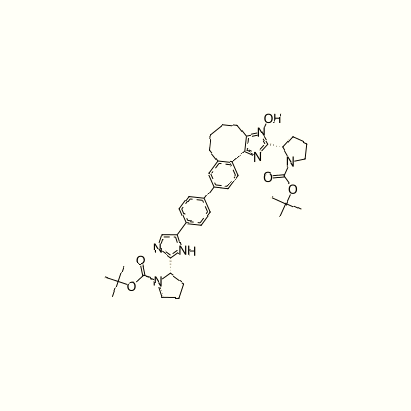 CC(C)(C)OC(=O)N1CCC[C@H]1c1ncc(-c2ccc(-c3ccc4c(c3)CCCCc3c-4nc([C@@H]4CCCN4C(=O)OC(C)(C)C)n3O)cc2)[nH]1